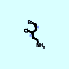 CC/C=C\C(Cl)=C/CN